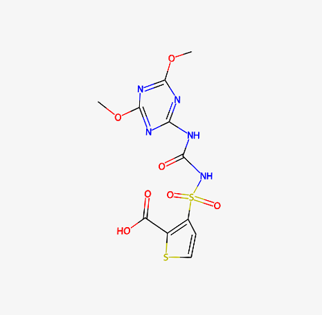 COc1nc(NC(=O)NS(=O)(=O)c2ccsc2C(=O)O)nc(OC)n1